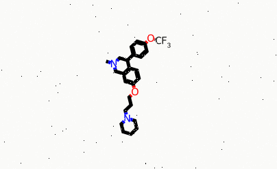 CN1Cc2cc(OCCCN3CCCCC3)ccc2C(c2ccc(OC(F)(F)F)cc2)C1